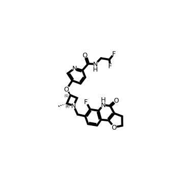 C[C@@H]1[C@@H](Oc2ccc(C(=O)NCC(F)F)nc2)CN1Cc1ccc2c3c(c(=O)[nH]c2c1F)CCO3